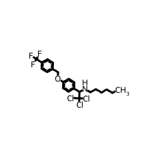 CCCCCCNC(c1ccc(OCc2ccc(C(F)(F)F)cc2)cc1)C(Cl)(Cl)Cl